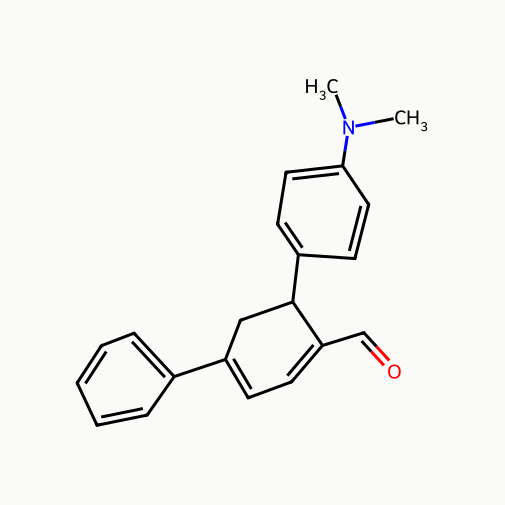 CN(C)c1ccc(C2CC(c3ccccc3)=CC=C2C=O)cc1